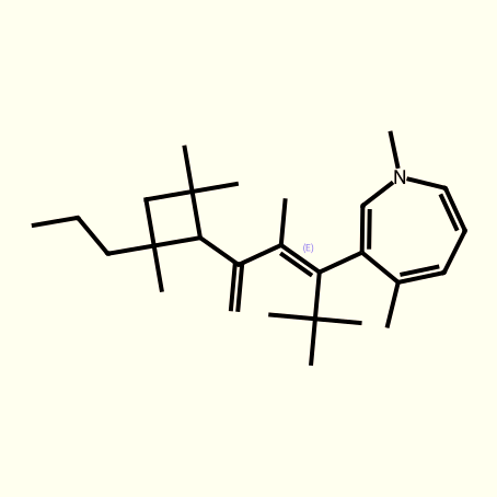 C=C(/C(C)=C(/C1=CN(C)C=CC=C1C)C(C)(C)C)C1C(C)(C)CC1(C)CCC